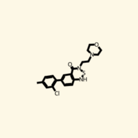 Cc1ccc(-c2ccc3c(c2)C(=O)N(CCN2CCOCC2)SN3)c(Cl)c1